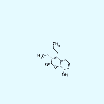 CCCc1c(CC)c(=O)oc2c(O)cccc12